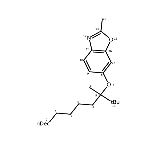 CCCCCCCCCCCCCCC(C)(Oc1ccc2nc(C)oc2c1)C(C)(C)C